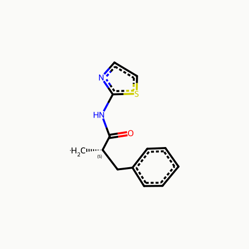 [CH2][C@@H](Cc1ccccc1)C(=O)Nc1nccs1